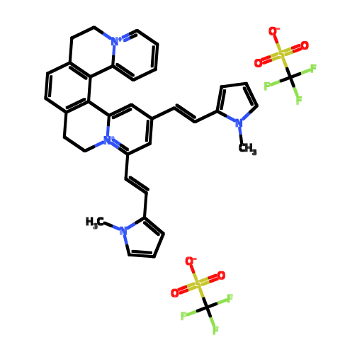 Cn1cccc1/C=C/c1cc(/C=C/c2cccn2C)[n+]2c(c1)-c1c(ccc3c1-c1cccc[n+]1CC3)CC2.O=S(=O)([O-])C(F)(F)F.O=S(=O)([O-])C(F)(F)F